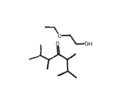 CC(C)C(C)C(=O)C(C)C(C)C.CCOCCO